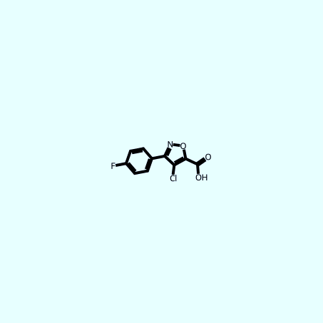 O=C(O)c1onc(-c2ccc(F)cc2)c1Cl